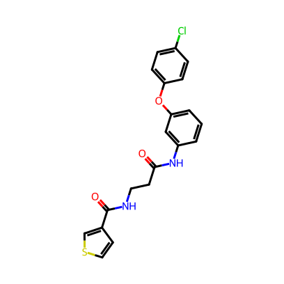 O=C(CCNC(=O)c1ccsc1)Nc1cccc(Oc2ccc(Cl)cc2)c1